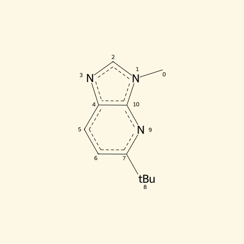 Cn1cnc2ccc(C(C)(C)C)nc21